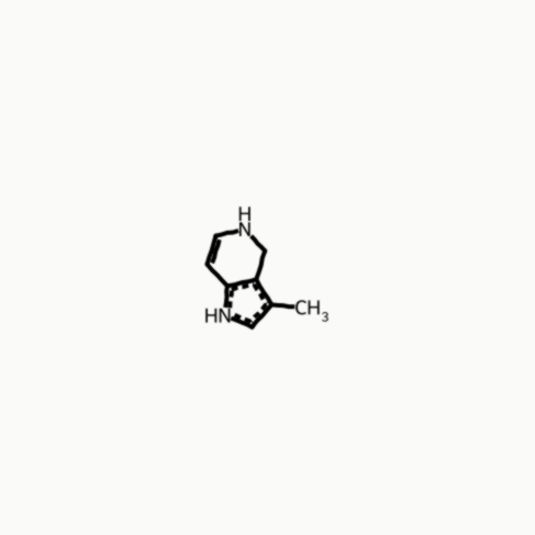 Cc1c[nH]c2c1CNC=C2